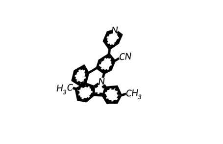 Cc1ccc2c3ccc(C)cc3n(-c3cc(C#N)c(-c4ccncc4)cc3-c3ccccc3)c2c1